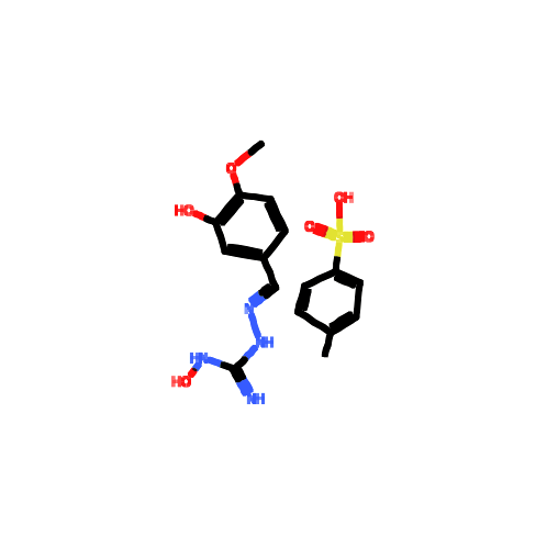 COc1ccc(C=NNC(=N)NO)cc1O.Cc1ccc(S(=O)(=O)O)cc1